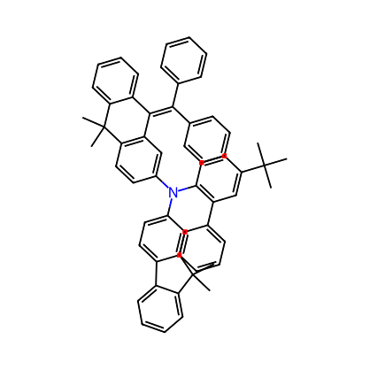 CC(C)(C)c1ccc(N(c2ccc3c(c2)C(=C(c2ccccc2)c2ccccc2)c2ccccc2C3(C)C)c2ccc3c(c2)C(C)(C)c2ccccc2-3)c(-c2ccccc2)c1